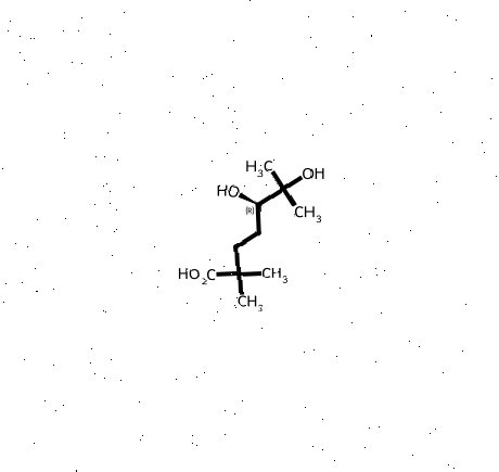 CC(C)(CC[C@@H](O)C(C)(C)O)C(=O)O